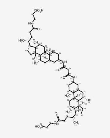 C[C@H](CCC(=O)NCCS(=O)(=O)O)[C@H]1CC[C@H]2[C@@H]3[C@@H](O)CC4CC(NC(=O)CC(=O)NC5CC[C@@]6(C)C(C5)C[C@H](O)[C@H]5[C@@H]7CC[C@H]([C@H](C)CCC(=O)NCCS(=O)(=O)O)[C@@]7(C)CC[C@@H]56)CC[C@]4(C)[C@H]3CC[C@]12C